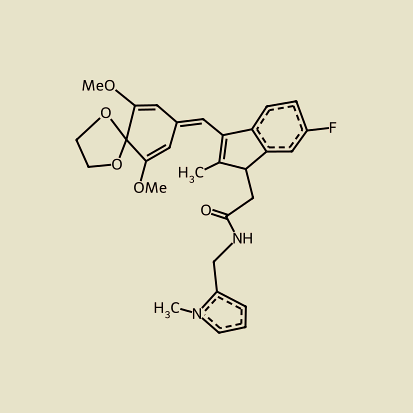 COC1=CC(=CC2=C(C)C(CC(=O)NCc3cccn3C)c3cc(F)ccc32)C=C(OC)C12OCCO2